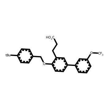 CC(C)(C)c1ccc(COc2ccc(-c3cccc(OC(F)(F)F)c3)cc2CCC(=O)O)cc1